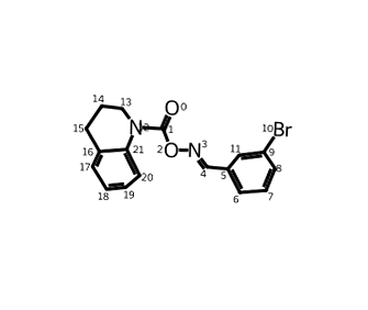 O=C(ON=Cc1cccc(Br)c1)N1CCCc2ccccc21